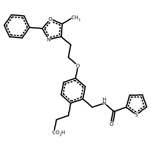 Cc1oc(-c2ccccc2)nc1CCOc1ccc(CCC(=O)O)c(CNC(=O)c2cccs2)c1